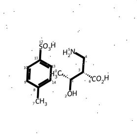 C[C@@H](O)[C@H](CN)C(=O)O.Cc1ccc(S(=O)(=O)O)cc1